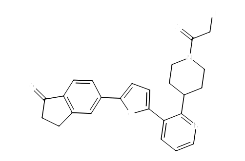 O=C1CCc2cc(-c3ccc(-c4cccnc4C4CCN(C(=O)CCl)CC4)o3)ccc21